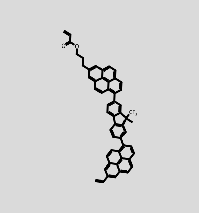 C=CC(=O)OCCCc1cc2ccc3ccc(-c4ccc5c(c4)C(C)(C(F)(F)F)c4cc(-c6ccc7ccc8cc(C=C)cc9ccc6c7c89)ccc4-5)c4ccc(c1)c2c34